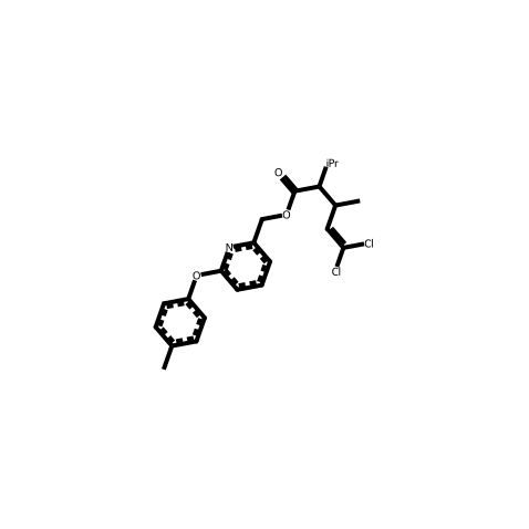 Cc1ccc(Oc2cccc(COC(=O)C(C(C)C)C(C)C=C(Cl)Cl)n2)cc1